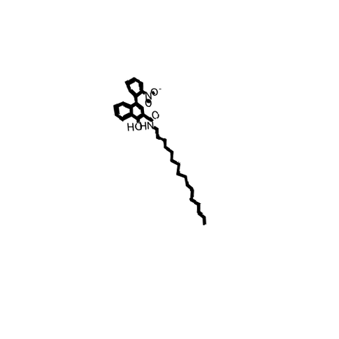 CCCCCCCCCCCCCCCCNC(=O)c1cc(-c2ccccc2[N+](=O)[O-])c2ccccc2c1O